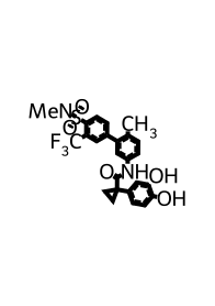 CNS(=O)(=O)c1ccc(-c2cc(NC(=O)C3(c4ccc(O)c(O)c4)CC3)ccc2C)cc1C(F)(F)F